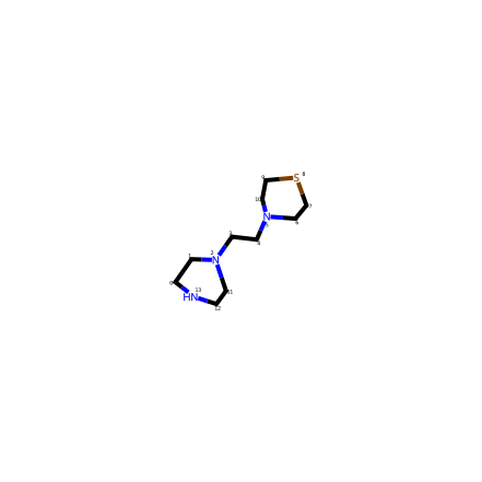 C1CN(CCN2CCSCC2)CCN1